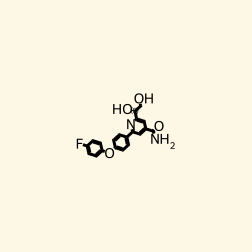 NC(=O)c1cc(-c2ccc(Oc3ccc(F)cc3)cc2)nc([C@H](O)CO)c1